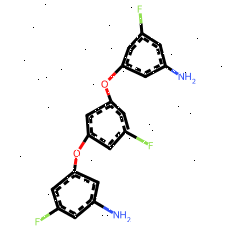 Nc1cc(F)cc(Oc2cc(F)cc(Oc3cc(N)cc(F)c3)c2)c1